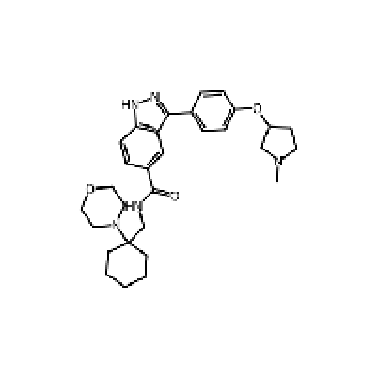 CN1CCC(Oc2ccc(-c3n[nH]c4ccc(C(=O)NCC5(N6CCOCC6)CCCCC5)cc34)cc2)C1